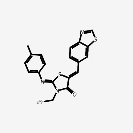 Cc1ccc(N=C2SC(=Cc3ccc4ncsc4c3)C(=O)N2CC(C)C)cc1